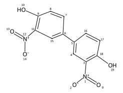 O=[N+]([O-])c1cc(-c2ccc(O)c([N+](=O)[O-])c2)ccc1O